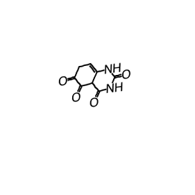 O=C1NC(=O)C2C(=O)C(=O)CC=C2N1